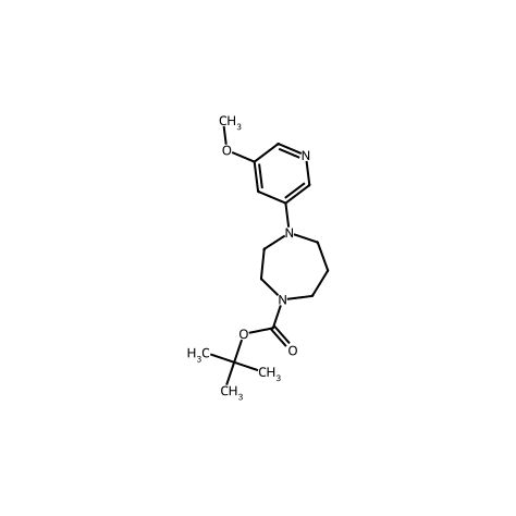 COc1cncc(N2CCCN(C(=O)OC(C)(C)C)CC2)c1